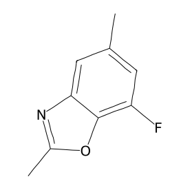 Cc1cc(F)c2oc(C)nc2c1